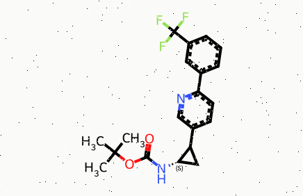 CC(C)(C)OC(=O)N[C@H]1CC1c1ccc(-c2cccc(C(F)(F)F)c2)nc1